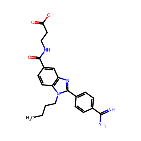 CCCCn1c(-c2ccc(C(=N)N)cc2)nc2cc(C(=O)NCCC(=O)O)ccc21